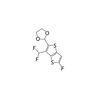 Fc1cc2sc(C3OCCO3)c(C(F)F)c2s1